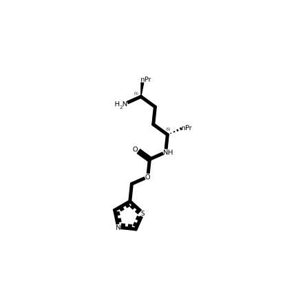 CCC[C@H](N)CC[C@H](CCC)NC(=O)OCc1cncs1